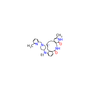 CCN(c1cccc2c1C/C=C/CCc1cc(C)[nH]c(=O)c1CNC2=O)C1CCN(Cc2cccc(C)n2)CC1